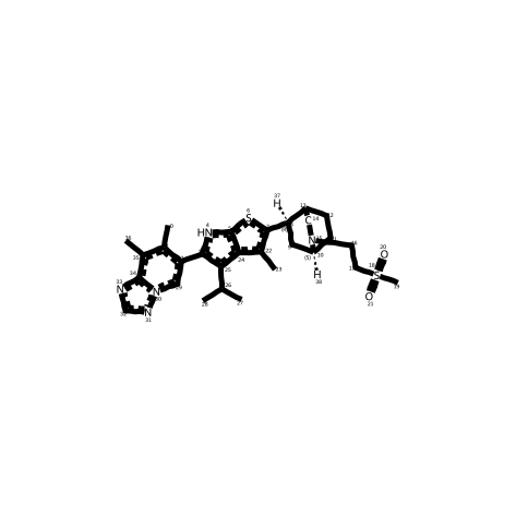 Cc1c(-c2[nH]c3sc([C@@H]4C[C@@H]5CCC4CN5CCS(C)(=O)=O)c(C)c3c2C(C)C)cn2ncnc2c1C